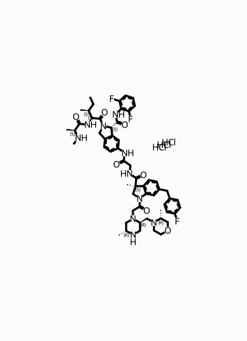 CC[C@H](C)[C@H](NC(=O)[C@H](C)NC)C(=O)N1Cc2ccc(NC(=O)CNC(=O)[C@]3(C)CN(C(=O)CN4C[C@@H](C)NC[C@@H]4CN4CCOC[C@H]4C)c4cc(Cc5ccc(F)cc5)ccc43)cc2[C@H]1C(=O)Nc1c(F)cccc1F.Cl.Cl.Cl